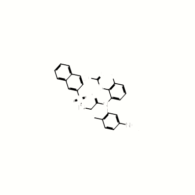 CCC(=O)Oc1c(F)cccc1NC(=O)[C@H](Cc1ccc([N+](=O)[O-])cc1)NS(=O)(=O)c1ccc2ccccc2c1